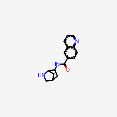 O=C(NC1CC2CNC1C2)c1ccc2ncccc2c1